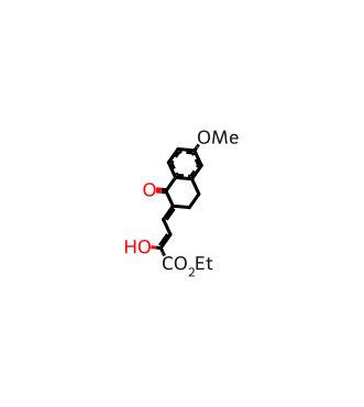 CCOC(=O)/C(O)=C/C=C1\CCc2cc(OC)ccc2C1=O